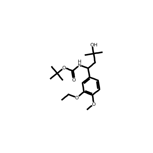 CCOc1cc(C(CC(C)(C)O)NC(=O)OC(C)(C)C)ccc1OC